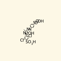 Cc1nn(-c2cc(Cl)c(S(=O)(=O)O)cc2Cl)c(O)c1N=Nc1ccc(SOOO)cc1